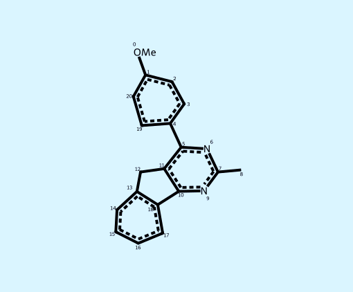 COc1ccc(-c2nc(C)nc3c2Cc2ccccc2-3)cc1